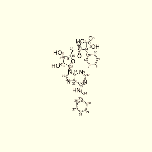 O=P(O)(O)C(c1ccccc1)S(=O)(=O)C[C@H]1O[C@@H](n2cnc3c(NCc4ccccc4)ncnc32)C(O)[C@@H]1O